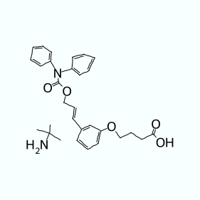 CC(C)(C)N.O=C(O)CCCOc1cccc(C=CCOC(=O)N(c2ccccc2)c2ccccc2)c1